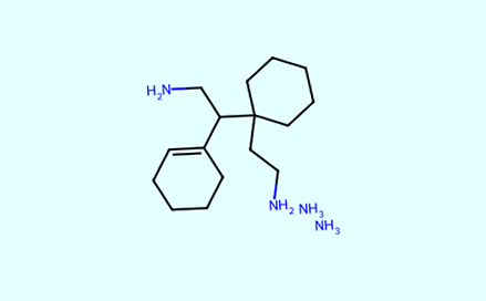 N.N.NCCC1(C(CN)C2=CCCCC2)CCCCC1